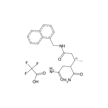 C[C@@H](CC(=O)NCc1cccc2ccccc12)C(CC(N)=O)C(N)=O.O=C(O)C(F)(F)F